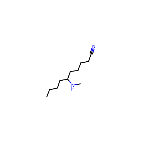 CCCCC(CCCCC#N)NC